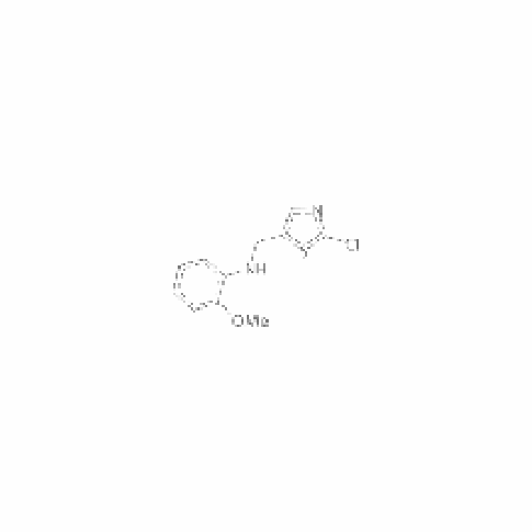 COc1ccccc1NCc1cnc(Cl)s1